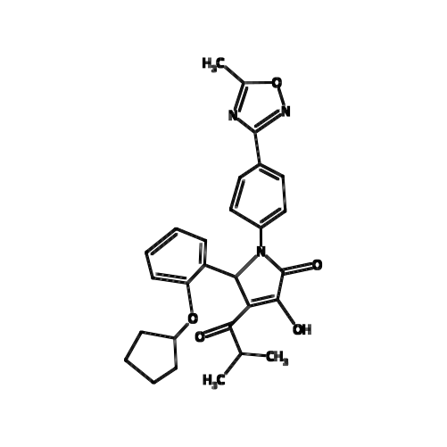 Cc1nc(-c2ccc(N3C(=O)C(O)=C(C(=O)C(C)C)C3c3ccccc3OC3CCCC3)cc2)no1